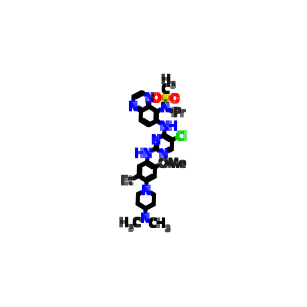 CCc1cc(Nc2ncc(Cl)c(Nc3ccc4nccnc4c3N(C(C)C)S(C)(=O)=O)n2)c(OC)cc1N1CCC(N(C)C)CC1